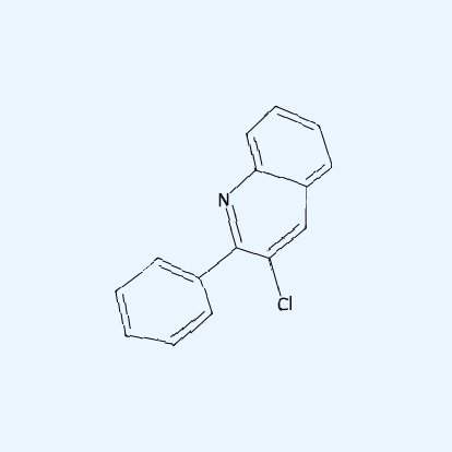 Clc1cc2ccccc2nc1-c1ccccc1